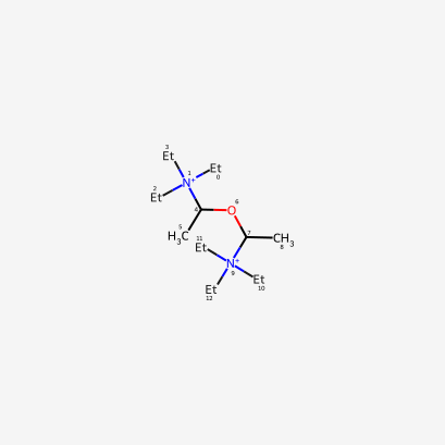 CC[N+](CC)(CC)C(C)OC(C)[N+](CC)(CC)CC